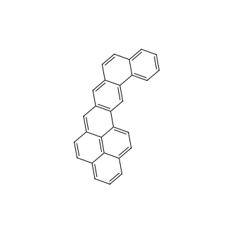 c1ccc2c(c1)ccc1cc3cc4ccc5cccc6ccc(c3cc12)c4c56